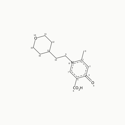 Cc1cc(=O)c(C(=O)O)cn1CCC1CCOCC1